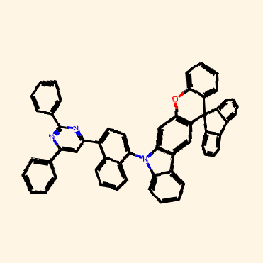 c1ccc(-c2cc(-c3ccc(-n4c5ccccc5c5cc6c(cc54)Oc4ccccc4C64c5ccccc5-c5ccccc54)c4ccccc34)nc(-c3ccccc3)n2)cc1